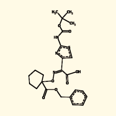 CC(C)(C)OC(=O)Nc1nc(/C(=N/OC2(C(=O)OCc3ccccc3)CCCCC2)C(=O)O)cs1